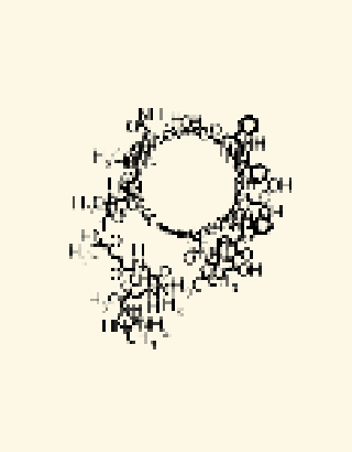 CC(=O)N[C@@H](CC(C)C)C(=O)N[C@H](C(=O)C(=O)[C@H](Cc1ccccc1)NN[C@]1(C)CCCCC#CC#CCCC[C@@](C)(C(=O)CN[C@@H](C)C(=O)CCN[C@@H](C)C(=O)CCC(=O)[C@H](C)NCCC(=O)[C@H](C)NCCC(=O)[C@H](C)NCN[C@H](C)C(N)=O)NC(=O)[C@H](CC(C)C)NC(=O)[C@H](CCC(N)=O)NCN[C@@H](C)C(=O)CC(=O)[C@H](Cc2c[nH]c3ccccc23)NN[C@@H](Cc2ccc(O)cc2)C(=O)N[C@@H](CCC(=O)O)C(=O)C1=O)[C@@H](C)O